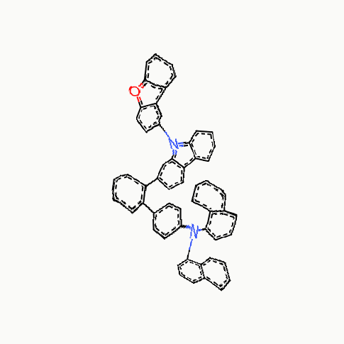 c1ccc(-c2ccc3c4ccccc4n(-c4ccc5oc6ccccc6c5c4)c3c2)c(-c2ccc(N(c3cccc4ccccc34)c3cccc4ccccc34)cc2)c1